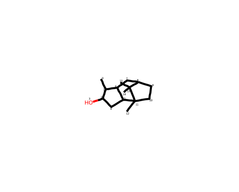 CC1C(O)CC2C1CC1CCC2(C)C1(C)C